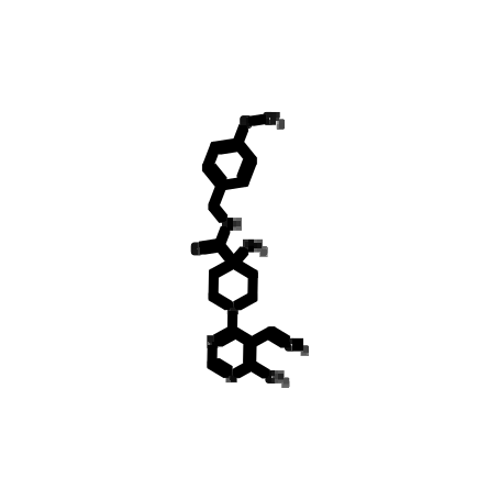 C=Cc1c(C)ncnc1N1CCC(N)(C(=O)NCc2ccc(OC(F)(F)F)cc2)CC1